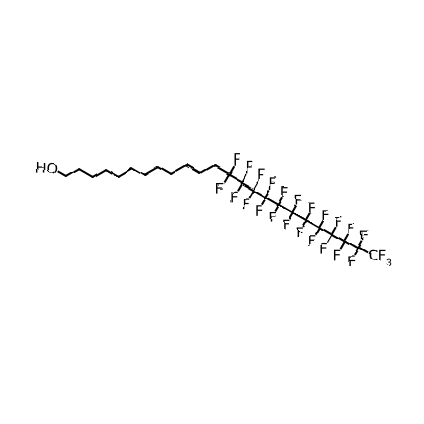 OCCCCCCCCCCCCC(F)(F)C(F)(F)C(F)(F)C(F)(F)C(F)(F)C(F)(F)C(F)(F)C(F)(F)C(F)(F)C(F)(F)C(F)(F)C(F)(F)F